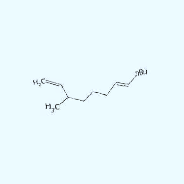 C=CC(C)CCCC=CCCCC